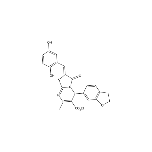 CCOC(=O)C1=C(C)N=c2s/c(=C\c3cc(O)ccc3O)c(=O)n2C1c1ccc2c(c1)OCC2